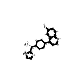 C[C@@H](c1ncc[nH]1)C1CCC(c2ccnc3ccc(F)cc23)CC1